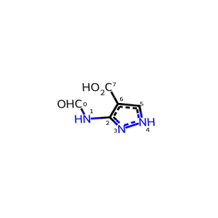 O=CNc1n[nH]cc1C(=O)O